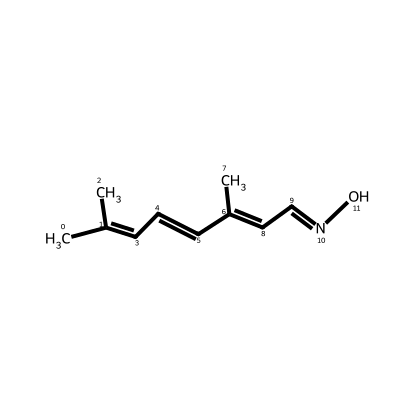 CC(C)=C/C=C/C(C)=C/C=N/O